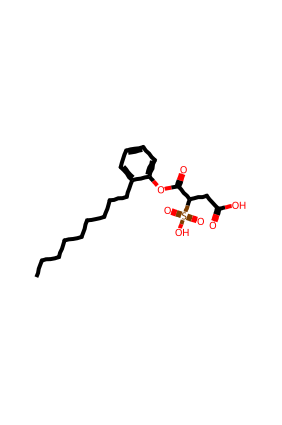 CCCCCCCCCc1ccccc1OC(=O)C(CC(=O)O)S(=O)(=O)O